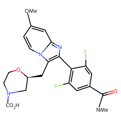 CNC(=O)c1cc(F)c(-c2nc3cc(OC)ccn3c2C[C@H]2CN(C(=O)O)CCO2)c(F)c1